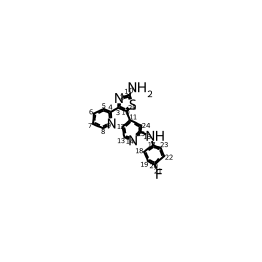 Nc1nc(-c2ccccn2)c(-c2ccnc(Nc3ccc(F)cc3)c2)s1